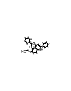 O=c1cc(-c2ccccc2)[nH]c2ccc(OCO)c(OCc3ccccc3)c12